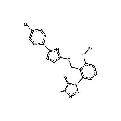 CCOc1cccc(-n2nnn(C)c2=O)c1COc1ccn(-c2ccc(Cl)cc2)n1